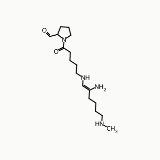 CNCCCC/C(N)=C/NCCCCC(=O)N1CCCC1C=O